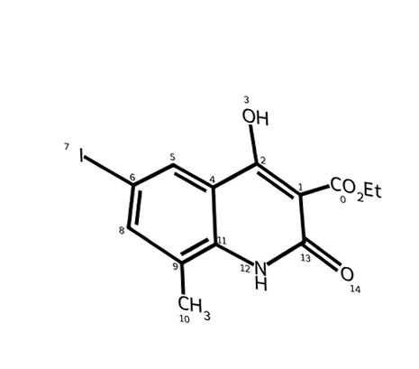 CCOC(=O)c1c(O)c2cc(I)cc(C)c2[nH]c1=O